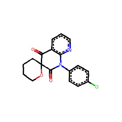 O=C1c2cccnc2N(c2ccc(Cl)cc2)C(=O)C12CCCCO2